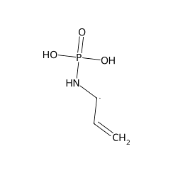 C=C[CH]NP(=O)(O)O